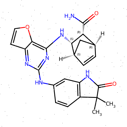 CC1(C)C(=O)Nc2cc(Nc3nc(N[C@@H]4[C@H](C(N)=O)[C@H]5C=C[C@@H]4C5)c4occc4n3)ccc21